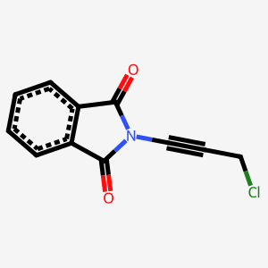 O=C1c2ccccc2C(=O)N1C#CCCl